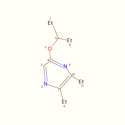 CCc1ncc(OC(CC)CC)nc1CC